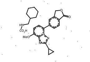 COc1ccc(-c2ccc3c(c2)COC3=O)n2nc(C3CC3)nc12.O=C(O)NCC1CCCCC1